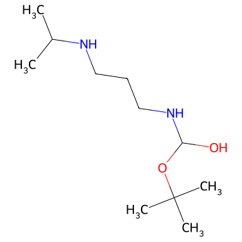 CC(C)NCCCNC(O)OC(C)(C)C